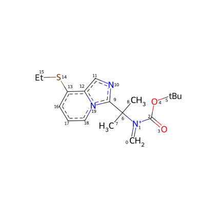 C=[N+](C(=O)OC(C)(C)C)C(C)(C)c1ncc2c(SCC)cccn12